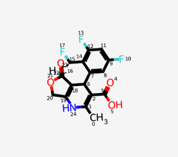 CC1=C(C(=O)O)C(c2cc(F)cc(F)c2[C@H](C)F)C2=C(COC2=O)N1